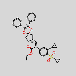 CCOC(=O)C(=C[C@H]1CCC2(C1)O[C@H](c1ccccc1)[C@@H](c1ccccc1)O2)c1ccc(S(=O)(=O)C2CC2)c(C2CC2)c1